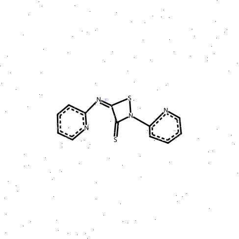 S=C1/C(=N\c2ccccn2)SN1c1ccccn1